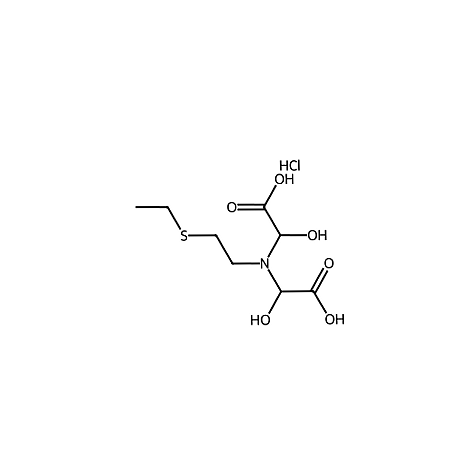 CCSCCN(C(O)C(=O)O)C(O)C(=O)O.Cl